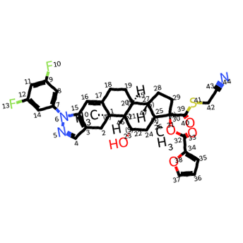 C[C@]12Cc3cnn(-c4cc(F)cc(F)c4)c3C=C1CC[C@@H]1[C@@H]2[C@@H](O)C[C@@]2(C)[C@H]1CC[C@]2(OC(=O)c1ccco1)C(=O)SCC#N